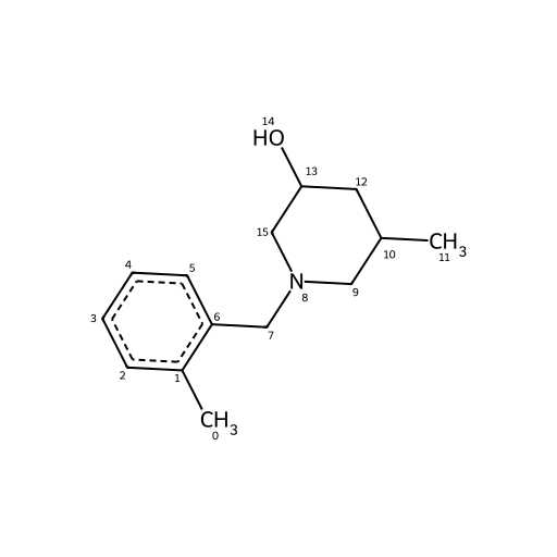 Cc1ccccc1CN1CC(C)CC(O)C1